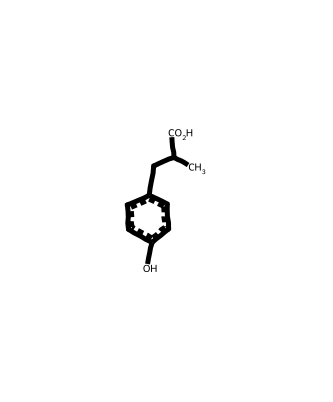 CC(Cc1ccc(O)cc1)C(=O)O